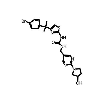 CC(C)(c1ccc(Br)cc1)c1csc(NC(=O)NCc2cnc(N3CCC(O)C3)nc2)n1